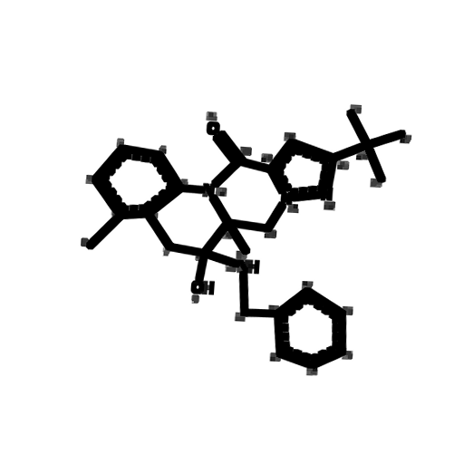 Cc1cccc2c1CC(O)(NCc1ccccc1)C1(C)Cn3nc(C(C)(C)C)cc3C(=O)N21